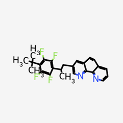 CC(Cc1cnc2c(ccc3cccnc32)c1)c1c(F)c(F)c(C(C)(C)C)c(F)c1F